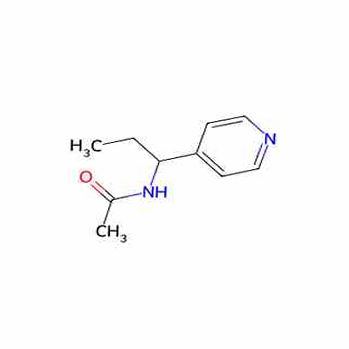 CCC(NC(C)=O)c1ccncc1